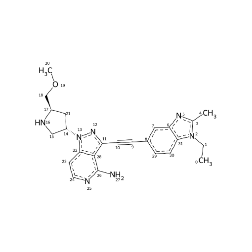 CCn1c(C)nc2cc(C#Cc3nn([C@@H]4CN[C@@H](COC)C4)c4ccnc(N)c34)ccc21